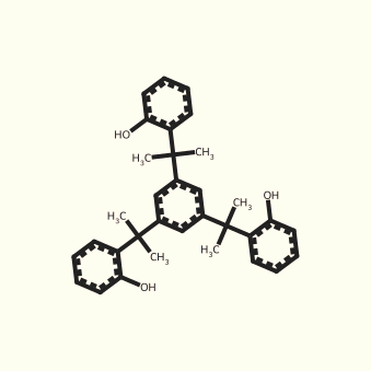 CC(C)(c1cc(C(C)(C)c2ccccc2O)cc(C(C)(C)c2ccccc2O)c1)c1ccccc1O